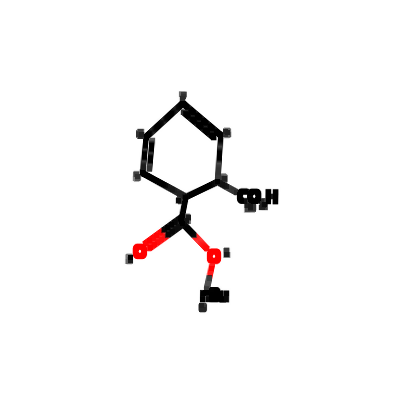 CCCCOC(=O)C1C=CC=CC1C(=O)O